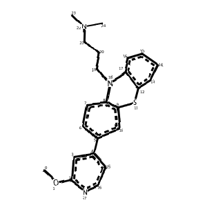 COc1cc(-c2ccc3c(c2)Sc2ccccc2N3CCCN(C)C)ccn1